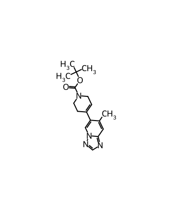 Cc1cc2ncnn2cc1C1=CCN(C(=O)OC(C)(C)C)CC1